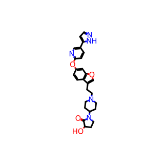 O=C1C(O)CCN1C1CCN(CCc2coc3cc(Oc4ccc(-c5ccn[nH]5)cn4)ccc23)CC1